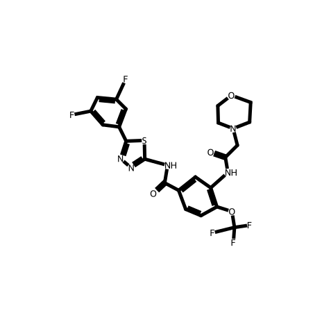 O=C(CN1CCOCC1)Nc1cc(C(=O)Nc2nnc(-c3cc(F)cc(F)c3)s2)ccc1OC(F)(F)F